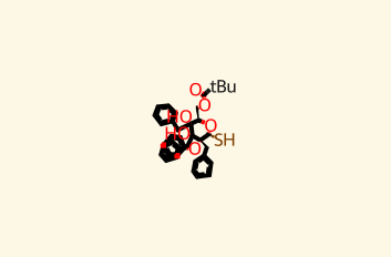 CC(C)(C)C(=O)OC[C@H]1O[C@@H](S)[C@](Cc2ccccc2)(Oc2ccccc2)[C@](O)(Cc2ccccc2)[C@@]1(O)Cc1ccccc1